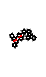 CC1(c2ccccc2)c2ccccc2-c2c(N(c3ccc(-c4ccc5ccccc5c4)cc3)c3ccccc3-c3ccc(-c4cccc5ccccc45)cc3)cccc21